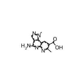 Cc1nc2nc(N)c3cnn(C)c3c2cc1C(=O)O